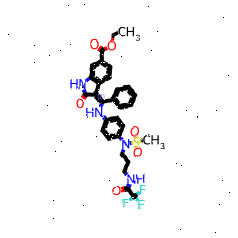 CCOC(=O)c1ccc2c(c1)NC(=O)/C2=C(\Nc1ccc(N(CCCNC(=O)C(F)(F)F)S(C)(=O)=O)cc1)c1ccccc1